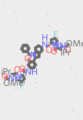 COC(=O)NC(C(=O)N1C[C@@H](F)C[C@H]1C(=O)Nc1ccc2c(c1)cc1n2C(c2ccccc2)Oc2cc(NC(=O)[C@@H]3C[C@@H](F)CN3C(=O)[C@@H](NC(=O)OC)C(C)C)ccc2-1)C(C)C